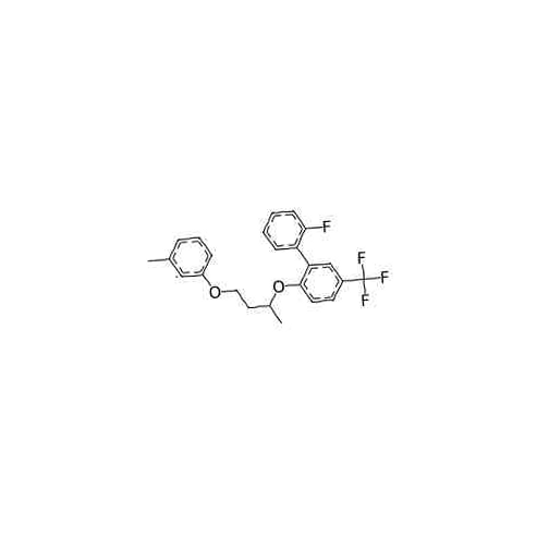 Cc1[c]c(OCCC(C)Oc2ccc(C(F)(F)F)cc2-c2ccccc2F)ccc1